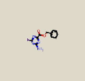 Nc1nc(I)nc(C(=O)OCc2ccccc2)n1